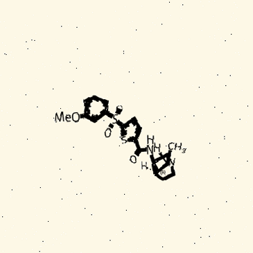 COc1cccc(S(=O)(=O)c2ccc(C(=O)N[C@@H]3C4CCN(CC4)[C@H]3C)s2)c1